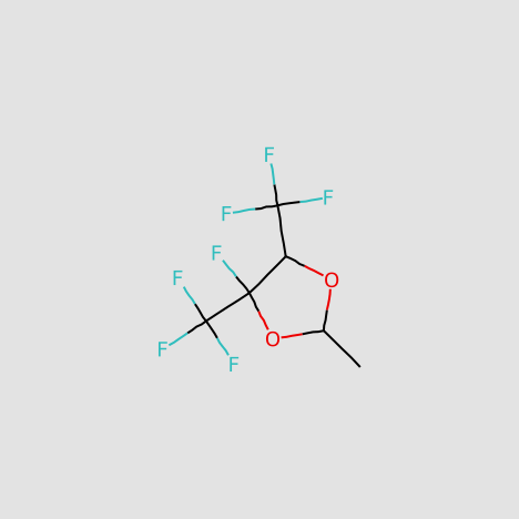 CC1OC(C(F)(F)F)C(F)(C(F)(F)F)O1